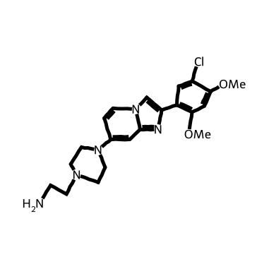 COc1cc(OC)c(-c2cn3ccc(N4CCN(CCN)CC4)cc3n2)cc1Cl